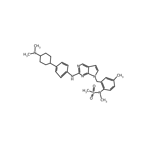 Cc1ccc(N(C)S(C)(=O)=O)c(Cn2ccc3cnc(Nc4ccc(C5CCC(N(C)C)CC5)cc4)nc32)c1